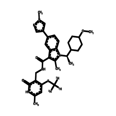 [2H]C([2H])([2H])Sc1cc(C)[nH]c(=O)c1CNC(=O)c1c(C)n([C@H](C)C2CCC(OC)CC2)c2ccc(-c3cnn(C)c3)cc12